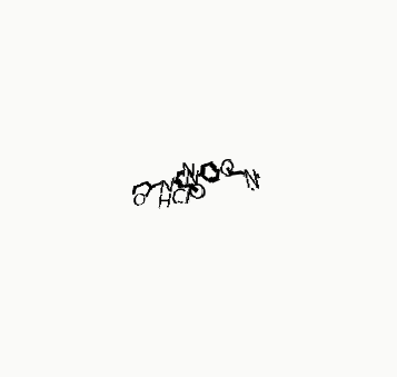 CN(C)CCOc1ccc(-n2ncc(NCC3CCCOC3)c(Cl)c2=O)cc1